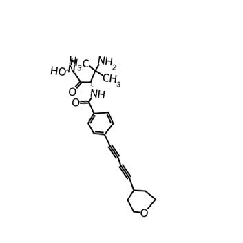 CC(C)(N)[C@H](NC(=O)c1ccc(C#CC#CC2CCOCC2)cc1)C(=O)NO